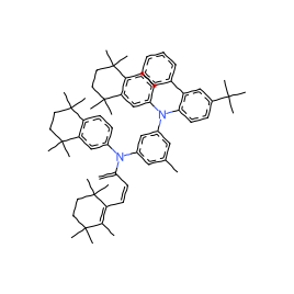 C=C(/C=C\C1=C(C)C(C)(C)CCC1(C)C)N(c1cc(C)cc(N(c2ccc3c(c2)C(C)(C)CCC3(C)C)c2ccc(C(C)(C)C)cc2-c2ccccc2)c1)c1ccc2c(c1)C(C)(C)CCC2(C)C